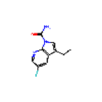 CCc1cn(C(N)=O)c2ncc(F)cc12